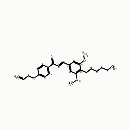 C=CCOc1ccc(C(=O)/C=C/c2cc(OC)c(CCCCCC)c(OC)c2)cc1